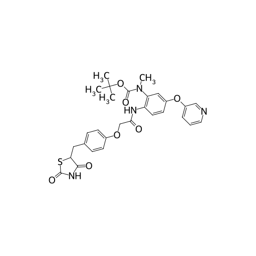 CN(C(=O)OC(C)(C)C)c1cc(Oc2cccnc2)ccc1NC(=O)COc1ccc(CC2SC(=O)NC2=O)cc1